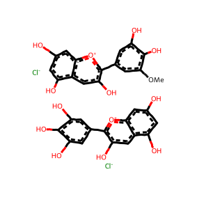 COc1cc(-c2[o+]c3cc(O)cc(O)c3cc2O)cc(O)c1O.Oc1cc(O)c2cc(O)c(-c3cc(O)c(O)c(O)c3)[o+]c2c1.[Cl-].[Cl-]